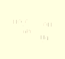 CC(=O)O.CCCO.[Hg]